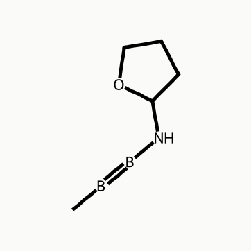 CB=BNC1CCCO1